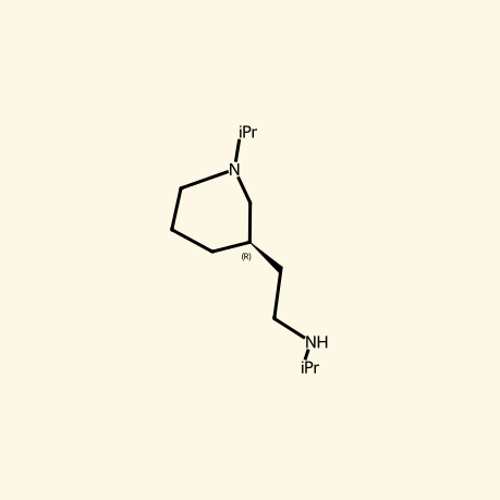 CC(C)NCC[C@H]1CCCN(C(C)C)C1